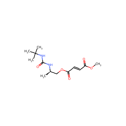 COC(=O)/C=C/C(=O)OC[C@@H](C)NC(=O)NC(C)(C)C